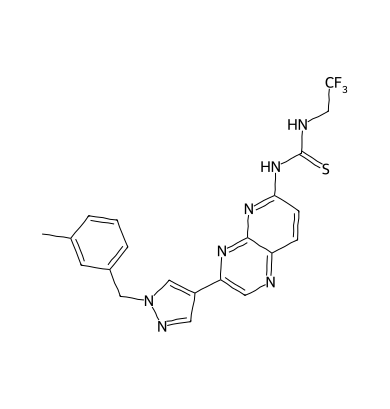 Cc1cccc(Cn2cc(-c3cnc4ccc(NC(=S)NCC(F)(F)F)nc4n3)cn2)c1